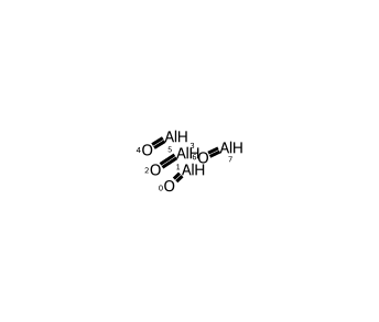 [O]=[AlH].[O]=[AlH].[O]=[AlH].[O]=[AlH]